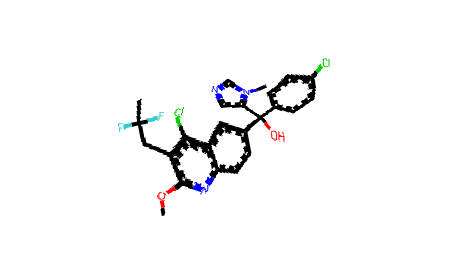 COc1nc2ccc(C(O)(c3ccc(Cl)cc3)c3cncn3C)cc2c(Cl)c1CC(C)(F)F